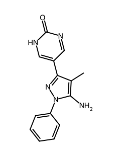 Cc1c(-c2cnc(=O)[nH]c2)nn(-c2ccccc2)c1N